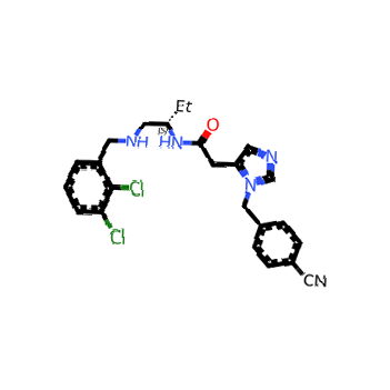 CC[C@@H](CNCc1cccc(Cl)c1Cl)NC(=O)Cc1cncn1Cc1ccc(C#N)cc1